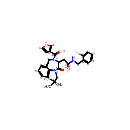 CC(C)(C)CN1C(=O)C(CC(=O)NCc2ccccc2F)N(C(=O)c2ccoc2)Cc2ccccc21